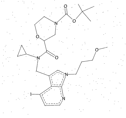 COCCCn1cc(CN(C(=O)C2CN(C(=O)OC(C)(C)C)CCO2)C2CC2)c2c(I)ccnc21